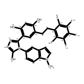 Cn1ccc2cc(-n3c(O)nnc3-c3cc(CCc4c(F)c(F)c(F)c(F)c4F)c(O)cc3O)ccc21